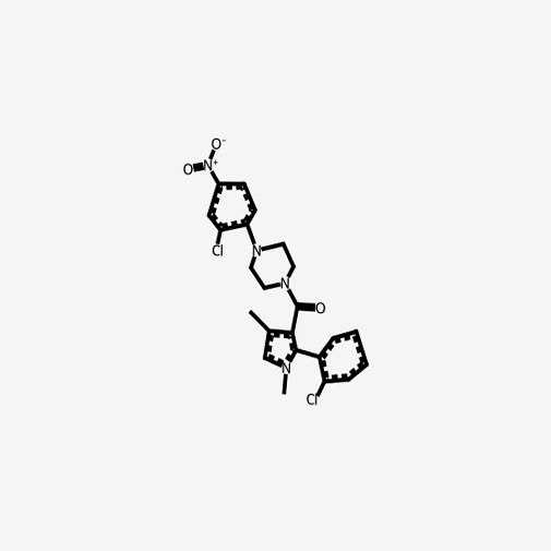 Cc1cn(C)c(-c2ccccc2Cl)c1C(=O)N1CCN(c2ccc([N+](=O)[O-])cc2Cl)CC1